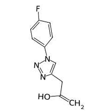 C=C(O)Cc1cn(-c2ccc(F)cc2)nn1